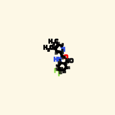 Cc1cnc(C(=O)NC2CC(F)(F)CCC2N=O)cc1C